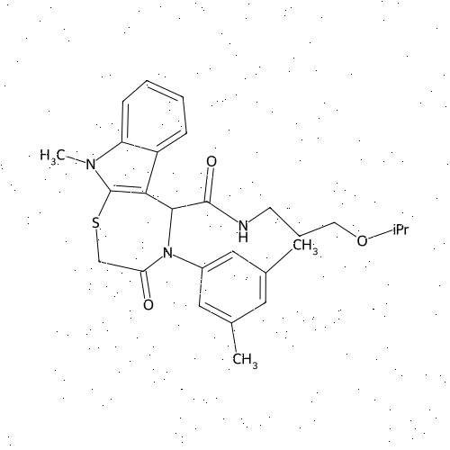 Cc1cc(C)cc(N2C(=O)CSc3c(c4ccccc4n3C)C2C(=O)NCCCOC(C)C)c1